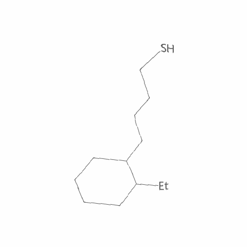 CCC1CCCCC1CCCCS